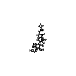 Cl.Cn1c(CNC2CCC2)cc2cc3c(cc21)CCc1c-3[nH]c(=O)c(C(=O)O)c1O